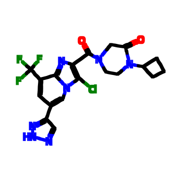 O=C(c1nc2c(C(F)(F)F)cc(-c3cn[nH]n3)cn2c1Cl)N1CCN(C2CCC2)C(=O)C1